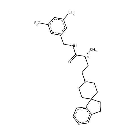 C[C@H](CCN1CCC2(C=Cc3ccccc32)CC1)C(=O)NCc1cc(C(F)(F)F)cc(C(F)(F)F)c1